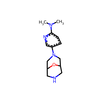 CN(C)c1ccc(N2CC3CNCC(C2)O3)cn1